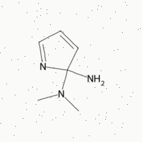 CN(C)C1(N)C=CC=N1